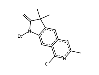 C=C1N(CC)c2cc3c(Cl)nc(C)nc3cc2C1(C)C